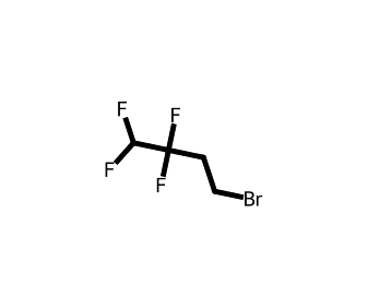 FC(F)C(F)(F)CCBr